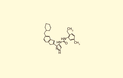 CCc1ccc(C)cc1NC(=O)Nc1c[nH]nc1C1=Cc2cc(CC3CCCCC3)ccc2C1